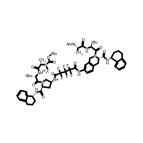 CN[C@@H](C)C(=O)N[C@H](C(=O)N1Cc2cc(NC(=O)C(F)(F)C(F)(F)C(F)(F)C(=O)N[C@H]3C[C@@H](C(=O)N[C@@H]4CCCc5ccccc54)N(C(=O)[C@@H](NC(=O)[C@H](C)N(C)C(=O)OC(C)(C)C)C(C)(C)C)C3)ccc2C[C@H]1C(=O)N[C@@H]1CCCc2ccccc21)C(C)(C)C